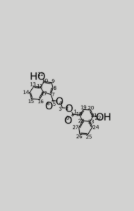 O=C(OCOC(=O)c1ccc(O)c2ccccc12)c1ccc(O)c2ccccc12